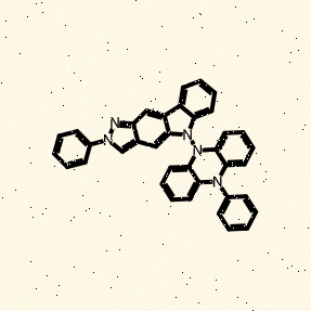 c1ccc(N2c3ccccc3N(n3c4ccccc4c4cc5nn(-c6ccccc6)cc5cc43)c3ccccc32)cc1